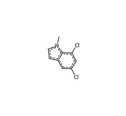 Cn1[c]cc2cc(Cl)cc(Cl)c21